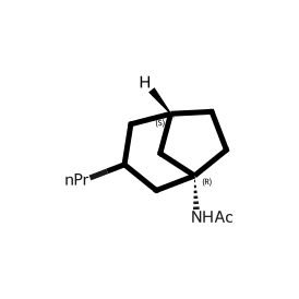 CCCC1C[C@@H]2CC[C@@](NC(C)=O)(C1)C2